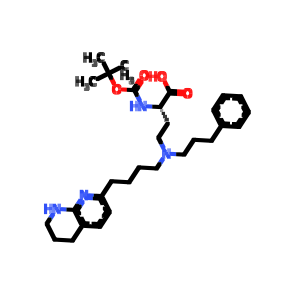 CC(C)(C)OC(=O)N[C@@H](CCN(CCCCc1ccc2c(n1)NCCC2)CCCc1ccccc1)C(=O)O